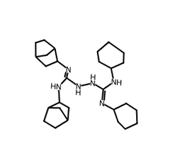 C1CCC(N=C(NNC(=NC2CC3CCC2C3)NC2CC3CCC2C3)NC2CCCCC2)CC1